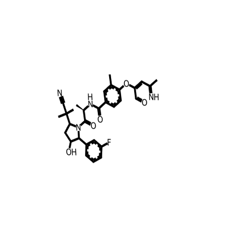 CC(=N)/C=C(\C=O)Oc1ccc(C(=O)N[C@H](C)C(=O)N2C(c3cccc(F)c3)C(O)CC2C(C)(C)C#N)cc1C